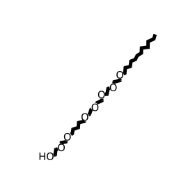 CCCCCCCCCCCCOCCOCCOCCOCCOCCCCCOCCOCCO